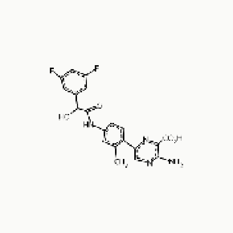 Cc1cc(NC(=O)C(O)c2cc(F)cc(F)c2)ccc1-c1cnc(N)c(C(=O)O)n1